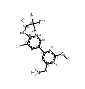 CSc1nc(CN)cc(-c2cnc(O[C@H](C)C(F)(F)F)c(F)c2)n1